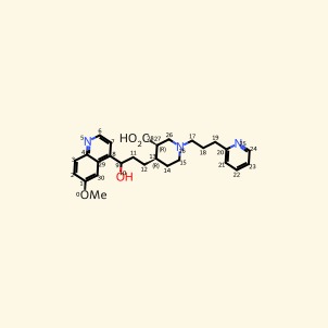 COc1ccc2nccc(C(O)CC[C@@H]3CCN(CCCc4ccccn4)C[C@@H]3C(=O)O)c2c1